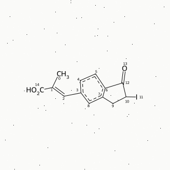 CC(=Cc1ccc2c(c1)CC(I)C2=O)C(=O)O